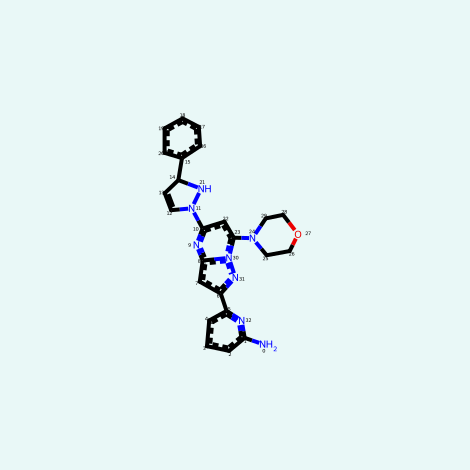 Nc1cccc(-c2cc3nc(N4C=CC(c5ccccc5)N4)cc(N4CCOCC4)n3n2)n1